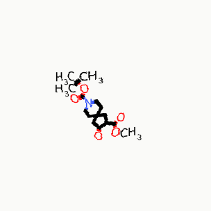 COC(=O)C1CC2(CCN(C(=O)OC(C)(C)C)CC2)CC1=O